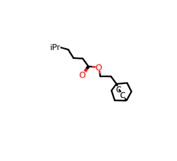 CC(C)CCCC(=O)OCCC12CCC(CC1)CC2